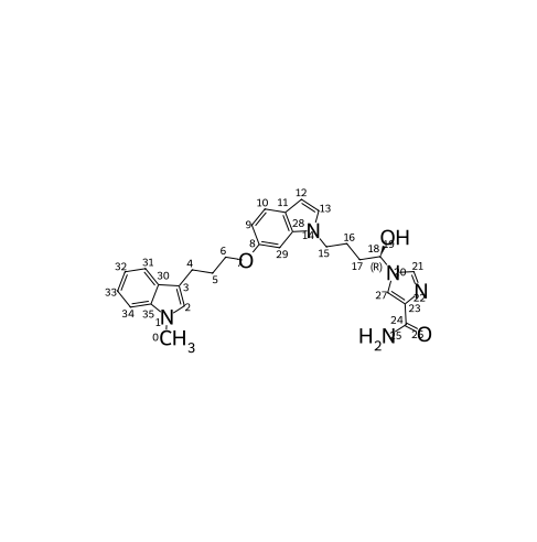 Cn1cc(CCCOc2ccc3ccn(CCC[C@@H](O)n4cnc(C(N)=O)c4)c3c2)c2ccccc21